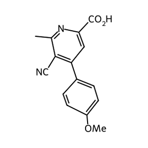 COc1ccc(-c2cc(C(=O)O)nc(C)c2C#N)cc1